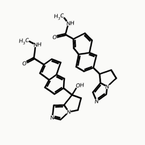 CNC(=O)c1ccc2cc(C3(O)CCn4cncc43)ccc2c1.CNC(=O)c1ccc2cc(C3CCn4cncc43)ccc2c1